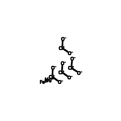 [Fe+2].[Mg+2].[O-][Cl+][O-].[O-][Cl+][O-].[O-][Cl+][O-].[O-][Cl+][O-]